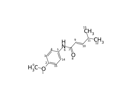 COc1ccc(NC(=O)/C=C/C(C)C)cc1